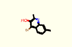 Cc1ccc2c(Br)c(O)c(C)nc2c1